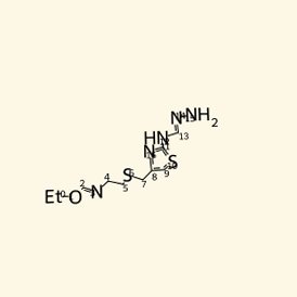 CCOC=NCCSCc1csc(NC=NN)n1